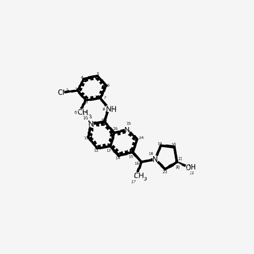 Cc1c(Cl)cccc1Nc1nccc2cc(C(C)N3CC[C@@H](O)C3)cnc12